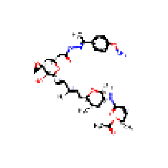 CC(=O)O[C@@H](C)/C=C\C(=O)N[C@@H]1C[C@H](C)[C@H](C/C=C(C)/C=C/[C@H]2O[C@H](CC(=O)N/N=C(\C)c3ccc(ON)cc3)C[C@@]3(CO3)[C@@H]2O)O[C@@H]1C